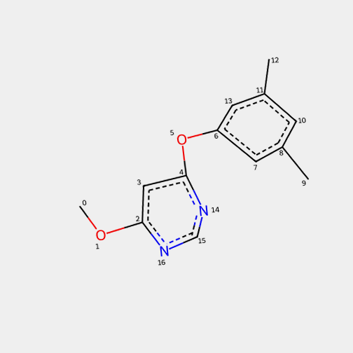 COc1cc(Oc2cc(C)cc(C)c2)ncn1